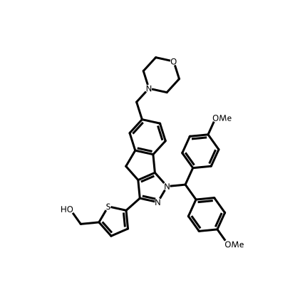 COc1ccc(C(c2ccc(OC)cc2)n2nc(-c3ccc(CO)s3)c3c2-c2ccc(CN4CCOCC4)cc2C3)cc1